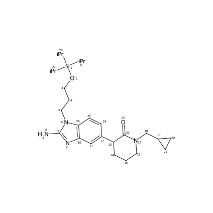 CC(C)[Si](OCCCn1c(N)nc2cc(C3CCCN(CC4CC4)C3=O)ccc21)(C(C)C)C(C)C